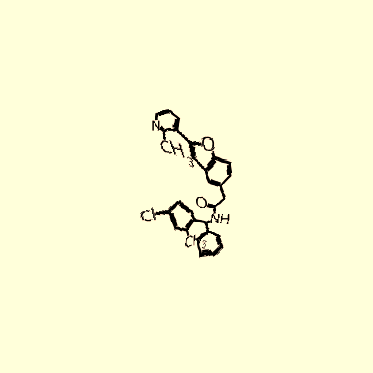 Cc1cc(Cl)ccc1C(NC(=O)Cc1ccc2oc(-c3cccnc3C)cc2c1)c1ccccc1